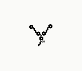 CCCCNc1ccc(N(c2ccc(/C=C/C=C/c3ccccc3)cc2)c2ccc(/C=C/C=C/c3ccccc3)cc2)cc1